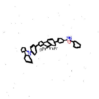 CCCC1(CCC)c2cc(-c3ccc(-c4nnc(-c5ccccc5)o4)cc3)ccc2-c2ccc(-c3ccc(-n4c5ccccc5c5ccccc54)cc3)cc21